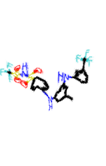 Cc1cc(Nc2ccc(S(=O)(=O)NS(=O)(=O)C(F)(F)F)cc2)cc(Nc2cccc(C(F)(F)F)c2)c1